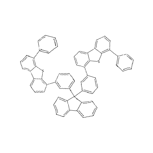 c1ccc(-c2cccc3c2sc2c(-c4cccc(C5(c6cccc(-c7cccc8c7sc7c(-c9ccccc9)cccc78)c6)c6ccccc6-c6ccccc65)c4)cccc23)cc1